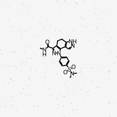 CNC(=O)c1nn(-c2ccc(S(=O)(=O)N(C)C)cc2)c2c1CCc1[nH]ncc1-2